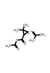 CC(=O)OC(=O)C1[C@@H](C=C(C)C)C1(C)C